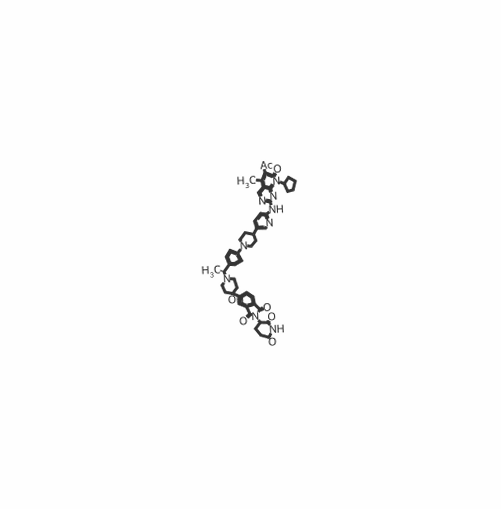 CC(=O)c1c(C)c2cnc(Nc3ccc(C4CCN(c5ccc([C@@H](C)N6CCC(O)(c7ccc8c(c7)C(=O)N(C7CCC(=O)NC7=O)C8=O)CC6)cc5)CC4)cn3)nc2n(C2CCCC2)c1=O